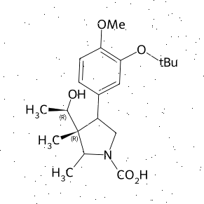 COc1ccc(C2CN(C(=O)O)C(C)[C@]2(C)[C@@H](C)O)cc1OC(C)(C)C